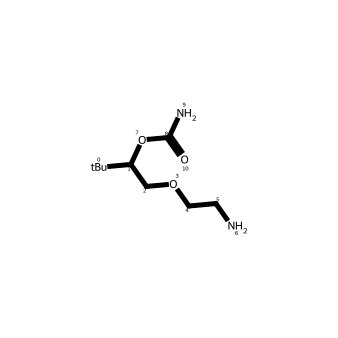 CC(C)(C)C(COCCN)OC(N)=O